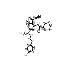 CN(CCCc1ncc(F)cn1)c1nc2nnc(C#N)c-2c(CC(=O)C2CCOCC2)[nH]1